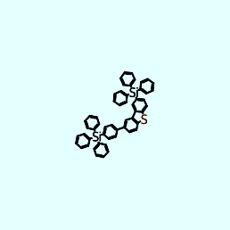 c1ccc([Si](c2ccccc2)(c2ccccc2)c2ccc(-c3ccc4sc5ccc([Si](c6ccccc6)(c6ccccc6)c6ccccc6)cc5c4c3)cc2)cc1